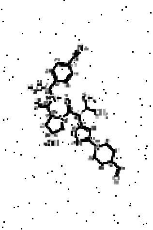 CC(C)[C@@H](C(=O)N1C[C@H](O)C[C@H]1C(=O)N[C@@H](C)c1ccc(C#N)cc1)c1cc(N2CCC(C=O)CC2)no1